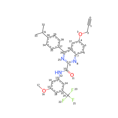 C#CCOc1ccc2nc(C(=O)Nc3cc(OC)cc(C(F)(F)F)c3)nc(-c3ccc(C(C)C)cc3)c2c1